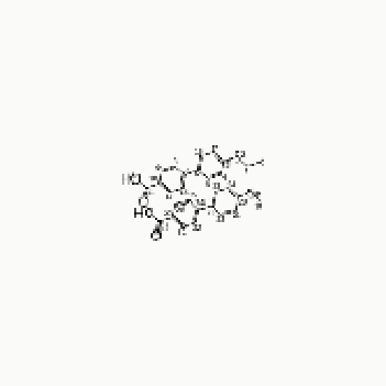 CCSc1ccc(-c2ccc(C(=O)O)cc2)cc1.CSc1ccc(-c2ccc(C(=O)O)cc2)cc1